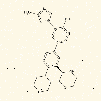 Cn1cc(-c2cc(-c3ccc(C4CCOCC4)c([C@@H]4COCCN4)c3)cnc2N)cn1